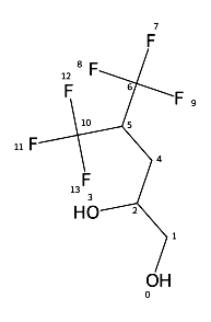 OCC(O)CC(C(F)(F)F)C(F)(F)F